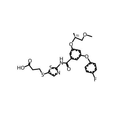 COC[C@H](C)Oc1cc(Oc2ccc(F)cc2)cc(C(=O)Nc2ncc(SCCC(=O)O)s2)c1